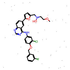 COCCN(O)Cc1ccc(-c2ccc3ncnc(Nc4ccc(OCc5cccc(F)c5)c(Cl)c4)c3c2)o1